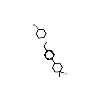 CCCCC1(C)CCC(c2ccc(CC[C@H]3CC[C@H](CCC)CC3)cc2)CC1